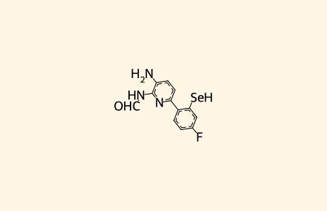 Nc1ccc(-c2ccc(F)cc2[SeH])nc1NC=O